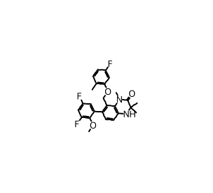 COc1c(F)cc(F)cc1-c1ccc2c(c1COc1cc(F)ccc1C)N(C)C(=O)C(C)(C)N2